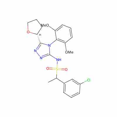 COc1cccc(OC)c1-n1c(NS(=O)(=O)C(C)c2cccc(Cl)c2)nnc1[C@H]1CCCO1